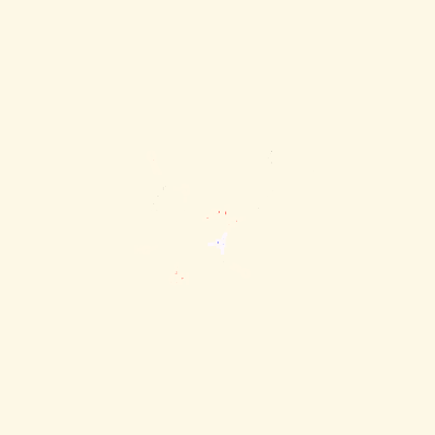 O=C1C=C2[C@@H](O)[C@@H](O)[C@@]3(CC(=O)N3OCc3ccccc3)[C@H](O)[C@@H]2O1